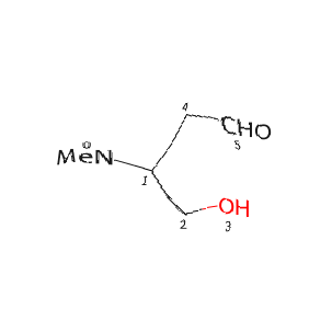 CNC(CO)CC=O